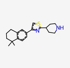 CC1(C)CCCc2cc(-c3csc(C4CCNCC4)n3)ccc21